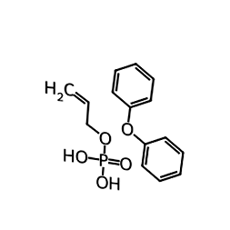 C=CCOP(=O)(O)O.c1ccc(Oc2ccccc2)cc1